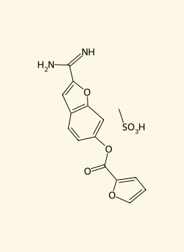 CS(=O)(=O)O.N=C(N)c1cc2ccc(OC(=O)c3ccco3)cc2o1